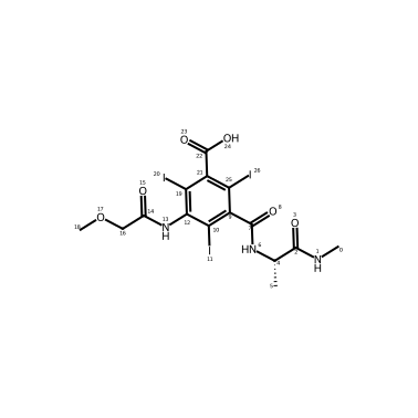 CNC(=O)[C@H](C)NC(=O)c1c(I)c(NC(=O)COC)c(I)c(C(=O)O)c1I